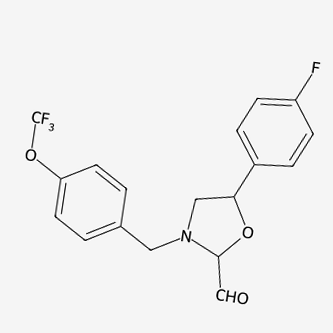 O=CC1OC(c2ccc(F)cc2)CN1Cc1ccc(OC(F)(F)F)cc1